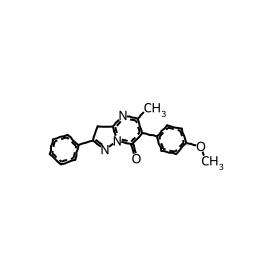 COc1ccc(-c2c(C)nc3n(c2=O)N=C(c2ccccc2)C3)cc1